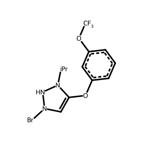 CC(C)N1NN(Br)C=C1Oc1cccc(OC(F)(F)F)c1